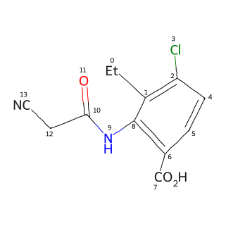 CCc1c(Cl)ccc(C(=O)O)c1NC(=O)CC#N